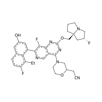 CCc1c(F)ccc2cc(O)cc(-c3ncc4c(N5CCOC(CC#N)C5)nc(OC[C@@]56CCCN5C[C@H](F)C6)nc4c3F)c12